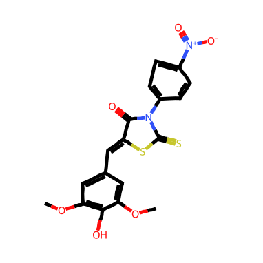 COc1cc(/C=C2\SC(=S)N(c3ccc([N+](=O)[O-])cc3)C2=O)cc(OC)c1O